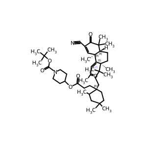 CC(=O)/C=C1/[C@@]2(C)C=C(C#N)C(=O)C(C)(C)[C@@H]2CC[C@@]1(C)C(C)(C)CC[C@@]1(CCC(=O)OC2CCN(C(=O)OC(C)(C)C)CC2)CCC(C)(C)CC1C